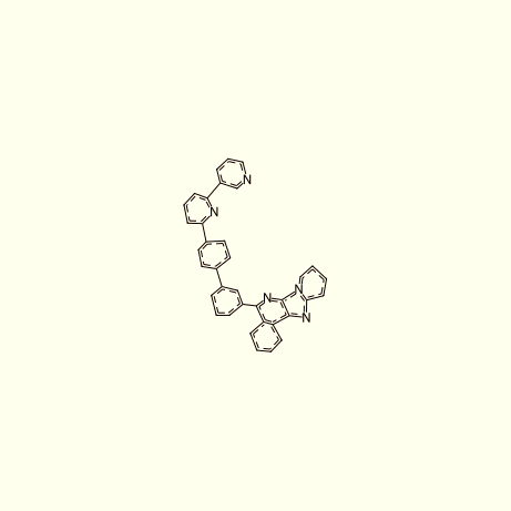 c1cncc(-c2cccc(-c3ccc(-c4cccc(-c5nc6c(nc7ccccn76)c6ccccc56)c4)cc3)n2)c1